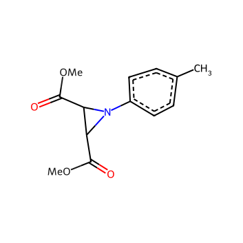 COC(=O)C1C(C(=O)OC)N1c1ccc(C)cc1